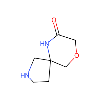 O=C1COCC2(CCNC2)N1